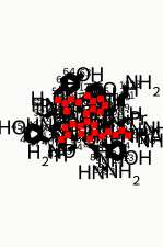 CC(=O)N[C@@H](CC(C)C)C(=O)N[C@@H](Cc1ccc(O)cc1)C(=O)N[C@@H](Cc1c[nH]c2ccccc12)C(=O)N[C@@H](CO)C(=O)N[C@@H](Cc1ccc(O)cc1)C(=O)N[C@@H](CC(C)C)C(=O)N[C@@H](Cc1ccc(O)cc1)C(=O)N[C@@H](CC(N)=O)C(=O)N[C@@H](CCCCN)C(=O)N[C@@H](CCCNC(=N)N)C(=O)N[C@@H](CCCNC(=N)N)C(=O)N[C@@H](CCCCN)C(=O)N[C@@H](CCCNC(=N)N)C(=O)O